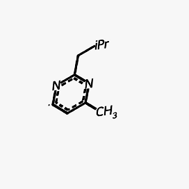 Cc1c[c]nc(CC(C)C)n1